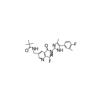 Cc1cc(-c2[nH]c(NC(=O)c3cc(CNC(=O)C(C)(C)C)cnc3C(F)F)nc2C)ccc1F